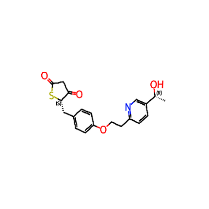 C[C@@H](O)c1ccc(CCOc2ccc(C[C@@H]3SC(=O)CC3=O)cc2)nc1